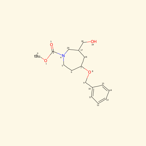 CC(C)(C)OC(=O)N1CCC(OCc2ccccc2)CC(CO)C1